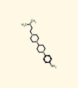 CN(C)CCN1CCN(C2CCN(c3ccc(N)cc3)CC2)CC1